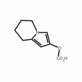 O=C(O)Oc1cc2n(c1)CCCC2